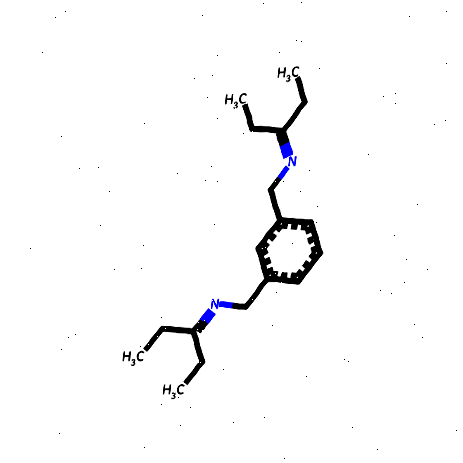 CCC(CC)=NCc1cccc(CN=C(CC)CC)c1